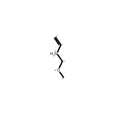 C=C[SiH2]COC